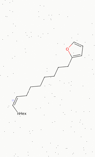 CCCCCC/C=C\CCCCCCCc1ccco1